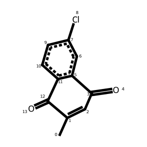 CC1=CC(=O)c2cc(Cl)ccc2C1=O